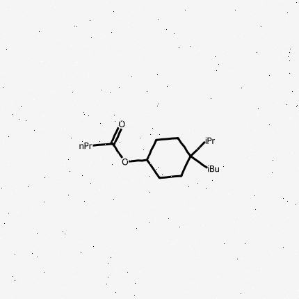 CCCC(=O)OC1CCC(C(C)C)(C(C)CC)CC1